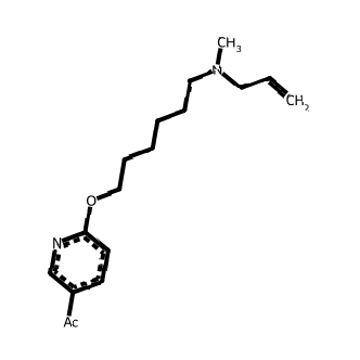 C=CCN(C)CCCCCCOc1ccc(C(C)=O)cn1